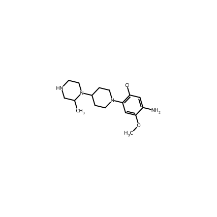 COc1cc(N2CCC(N3CCNCC3C)CC2)c(Cl)cc1N